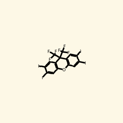 FC(F)(F)C1(C(F)(F)F)c2cc(I)c(I)cc2Oc2cc(I)c(I)cc21